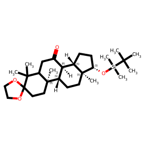 CC1(C)C2CC(=O)[C@H]3[C@@H]4CC[C@H](O[Si](C)(C)C(C)(C)C)[C@@]4(C)CC[C@@H]3[C@@]2(C)CCC12OCCO2